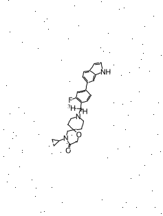 [2H]C([2H])(c1ccc(-c2ccc3cc[nH]c3c2)cc1F)N1CCC2(CC1)CN(C1CC1)C(=O)CO2